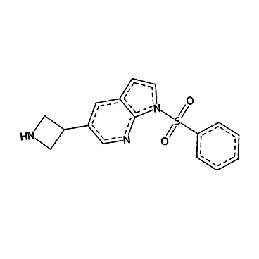 O=S(=O)(c1ccccc1)n1ccc2cc(C3CNC3)cnc21